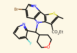 CCOC(=O)c1c(C)sc2c3ncc(Br)cc3n(C(c3ncccc3F)C3CCOCC3)c12